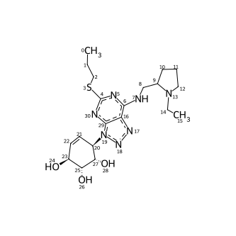 CCCSc1nc(NCC2CCCN2CC)c2nnn([C@@H]3C=C[C@H](O)[C@@H](O)[C@H]3O)c2n1